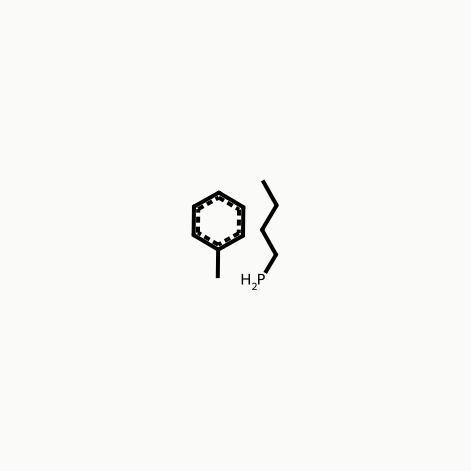 CCCCP.Cc1ccccc1